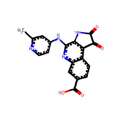 Cc1cc(Nc2nc3cc(C(=O)O)ccc3c3c2NC(=O)C3=O)ccn1